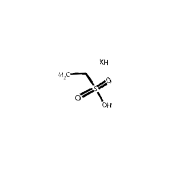 [CH2]CS(=O)(=O)O.[KH]